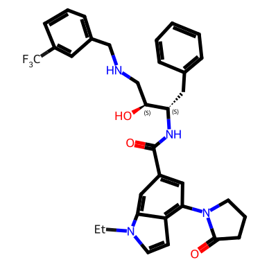 CCn1ccc2c(N3CCCC3=O)cc(C(=O)N[C@@H](Cc3ccccc3)[C@@H](O)CNCc3cccc(C(F)(F)F)c3)cc21